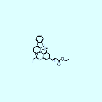 C=C(CC)N1CCc2c([nH]c3ccccc23)[C@H]1c1c(F)cc(/C=C/C(=O)OCC)cc1F